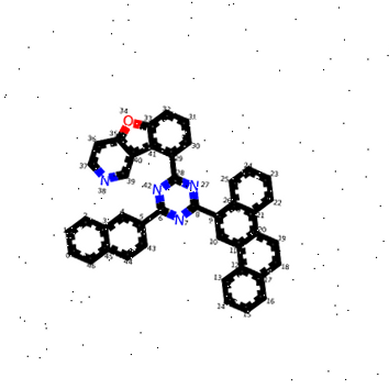 c1ccc2cc(-c3nc(-c4cc5c6ccccc6ccc5c5ccccc45)nc(-c4cccc5oc6ccncc6c45)n3)ccc2c1